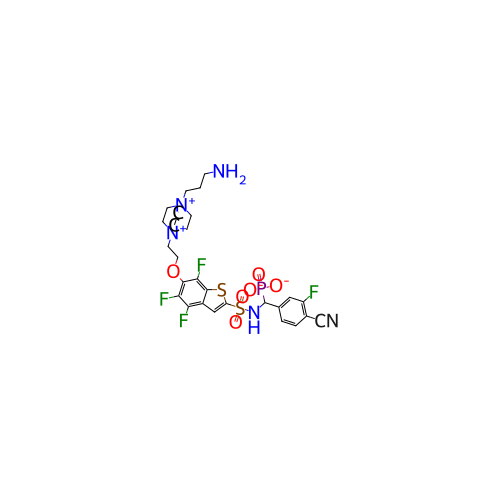 N#Cc1ccc(C(NS(=O)(=O)c2cc3c(F)c(F)c(OCC[N+]45CC[N+](CCCN)(CC4)CC5)c(F)c3s2)P(=O)([O-])[O-])cc1F